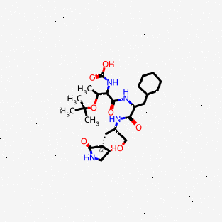 CC(OC(C)(C)C)C(NC(=O)O)C(=O)NC(CC1CCCCC1)C(=O)NC(CO)C[C@@H]1CCNC1=O